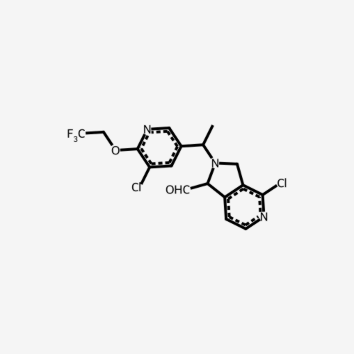 CC(c1cnc(OCC(F)(F)F)c(Cl)c1)N1Cc2c(ccnc2Cl)C1C=O